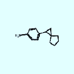 Nc1ccc(C2CC23CCCC3)cc1